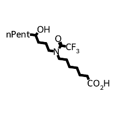 CCCCCC(O)CCCN(CCCCCCC(=O)O)C(=O)C(F)(F)F